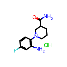 Cl.NC(=O)C1CCCN(c2ccc(F)cc2N)C1